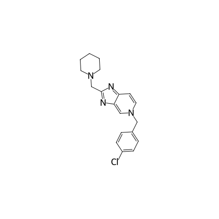 Clc1ccc(Cn2ccc3nc(CN4CCCCC4)nc-3c2)cc1